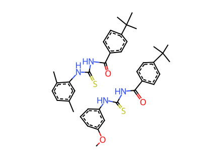 COc1cccc(NC(=S)NC(=O)c2ccc(C(C)(C)C)cc2)c1.Cc1ccc(C)c(NC(=S)NC(=O)c2ccc(C(C)(C)C)cc2)c1